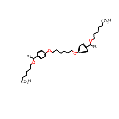 CCC(OCCCCCC(=O)O)c1ccc(OCCCCCCOc2ccc(C(CC)OCCCCCC(=O)O)cc2)cc1